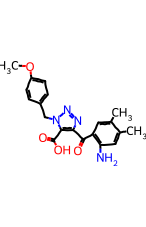 COc1ccc(Cn2nnc(C(=O)c3cc(C)c(C)cc3N)c2C(=O)O)cc1